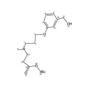 CN(CCCOc1cccc(CO)c1)CCC(=O)OC(C)(C)C